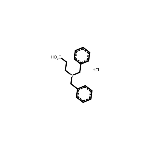 Cl.O=C(O)CCN(Cc1ccccc1)Cc1ccccc1